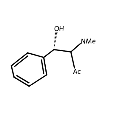 CNC(C(C)=O)[C@@H](O)c1ccccc1